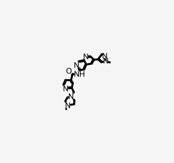 CN1CCN(Cc2cc(C(=O)Nc3cc4cc(-c5cnn(C)c5)cnc4cn3)ccn2)CC1